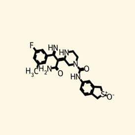 Cc1cc(F)cc(C(=N)/C(C(N)=O)=C2/CN(C(=O)Nc3ccc4c(c3)C[S+]([O-])C4)CCN2)c1